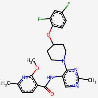 COc1nc(C)ccc1C(=O)Nc1cnc(C)nc1N1CCC(Oc2ccc(F)cc2F)CC1